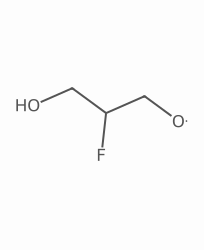 [O]CC(F)CO